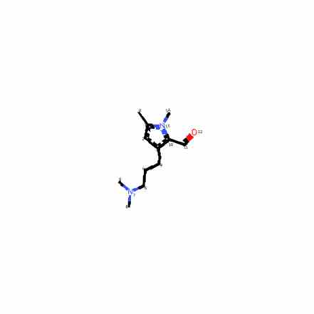 Cc1cc(CCCN(C)C)c(C=O)n1C